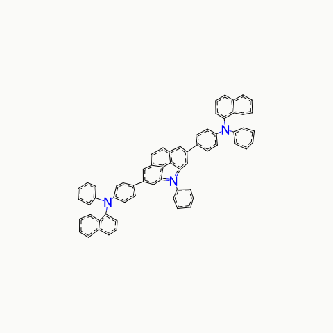 c1ccc(N(c2ccc(-c3cc4ccc5cc(-c6ccc(N(c7ccccc7)c7cccc8ccccc78)cc6)cc6c5c4c(c3)n6-c3ccccc3)cc2)c2cccc3ccccc23)cc1